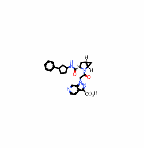 O=C(O)c1nn(CC(=O)N2[C@@H]3C[C@@H]3C[C@H]2C(=O)NC2CCC(c3ccccc3)C2)c2cnccc12